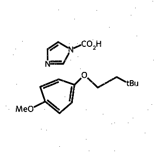 COc1ccc(OCCC(C)(C)C)cc1.O=C(O)n1ccnc1